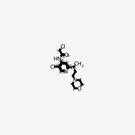 CN(CCN1CCOCC1)c1cc(NC(=O)CCl)c(Cl)cn1